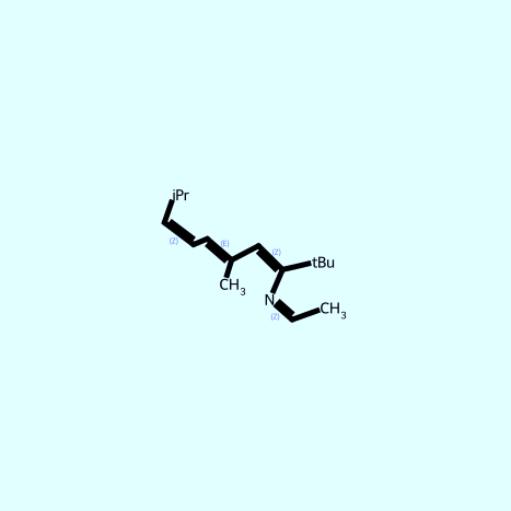 C\C=N/C(=C\C(C)=C\C=C/C(C)C)C(C)(C)C